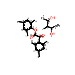 CCCC(O)C(C)C(O)CC.Cc1cc(C)c(OC(=O)C(=O)c2c(C)cc(C)cc2C)c(C)c1